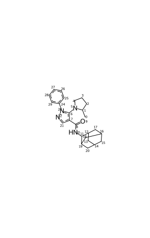 CC1CCCN1c1c(C(=O)NC2C3CC4CC(C3)CC2C4)cnn1-c1ccccc1